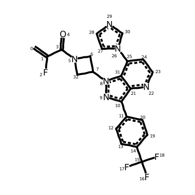 C=C(F)C(=O)N1CC(n2nc(-c3ccc(C(F)(F)F)cc3)c3nccc(-n4ccnc4)c32)C1